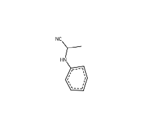 CC(C#N)Nc1ccccc1